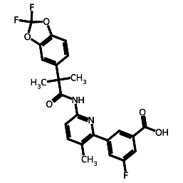 Cc1ccc(NC(=O)C(C)(C)c2ccc3c(c2)OC(F)(F)O3)nc1-c1cc(F)cc(C(=O)O)c1